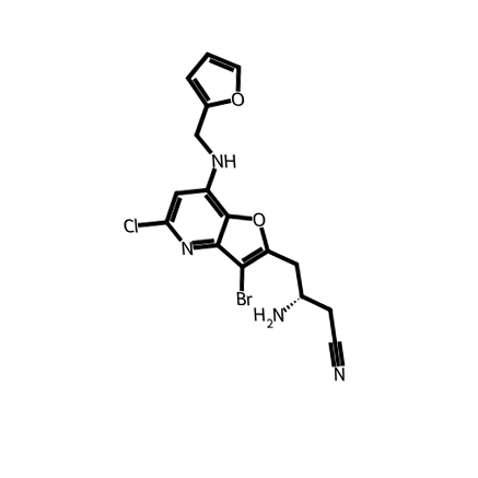 N#CC[C@H](N)Cc1oc2c(NCc3ccco3)cc(Cl)nc2c1Br